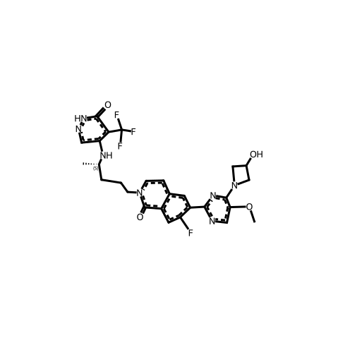 COc1cnc(-c2cc3ccn(CCC[C@H](C)Nc4cn[nH]c(=O)c4C(F)(F)F)c(=O)c3cc2F)nc1N1CC(O)C1